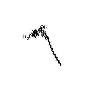 CCCCCCCCCCCCCCCCCCOCc1cn(C[C@H]2O[C@@H](n3cnc4c(N)ncnc43)CC2O)nn1